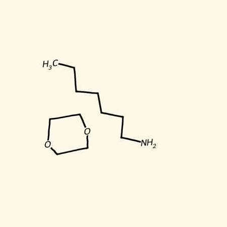 C1COCCO1.CCCCCCCN